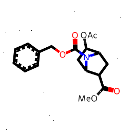 COC(=O)C1CC2C(OC(C)=O)CC1N2C(=O)OCc1ccccc1